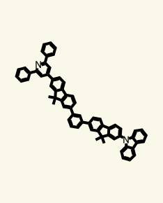 CC1(C)c2cc(-c3cccc(-c4ccc5c(c4)C(C)(C)c4cc(-n6c7ccccc7c7ccccc76)ccc4-5)c3)ccc2-c2ccc(-c3cc(-c4ccccc4)nc(-c4ccccc4)c3)cc21